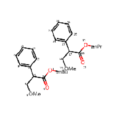 CCCCOC(=O)C(COC)c1ccccc1.CCCOC(=O)C(COC)c1ccccc1